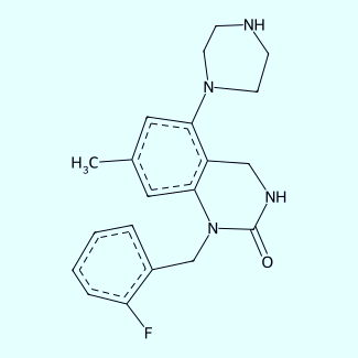 Cc1cc(N2CCNCC2)c2c(c1)N(Cc1ccccc1F)C(=O)NC2